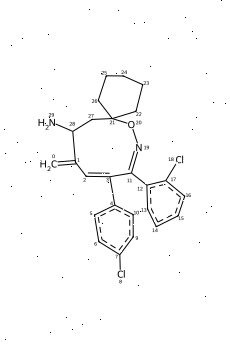 C=C1/C=C(c2ccc(Cl)cc2)\C(c2ccccc2Cl)=N/OC2(CCCCC2)CC1N